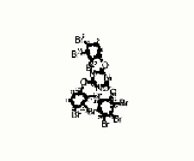 Brc1ccc(Oc2nc(Oc3ccc(Br)c(Br)c3Br)nc(Oc3ccc(Br)c(Br)c3Br)n2)c(Br)c1Br